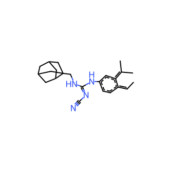 C/C=c1/ccc(N/C(=N/C#N)NCC23CC4CC(CC2C4)C3)cc1=C(C)C